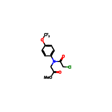 COC(=O)CN(C(=O)CCl)c1ccc(OC(F)(F)F)cc1